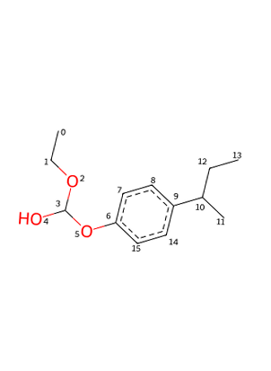 CCOC(O)Oc1ccc(C(C)CC)cc1